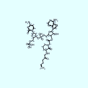 C=CCCC(=O)CN[C@H]1CCCN(CC(=O)OC2C(COP(=O)(O)O[C@@H]3C[C@H](n4ccc(N)nc4=O)OC3COP(=O)(O)O)OC(n3cnc4c(N)ncnc43)C2O)C1=O